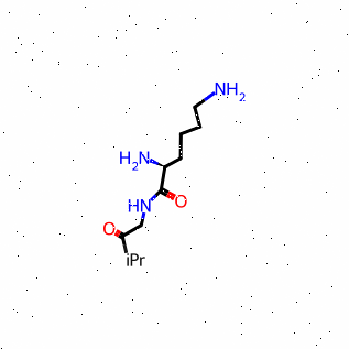 CC(C)C(=O)CNC(=O)[C@@H](N)CCCCN